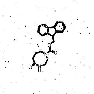 O=C1CCCN(C(=O)OCC2c3ccccc3-c3ccccc32)CCN1